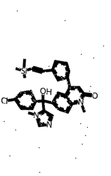 Cn1cncc1C(O)(c1ccc(Cl)cc1)c1ccc2c(c1)c(-c1cccc(C#C[Si](C)(C)C)c1)cc(=O)n2C